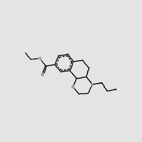 CCCN1CCOC2c3cc(C(=O)OCC)ccc3CCC21